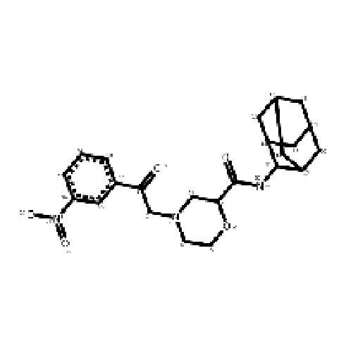 O=C(CN1CCOC(C(=O)NC2C3CC4CC(C3)CC2C4)C1)c1cccc([N+](=O)[O-])c1